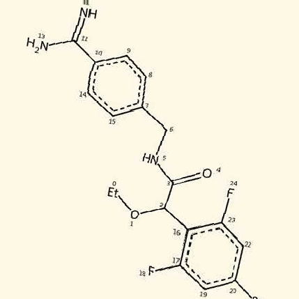 CCOC(C(=O)NCc1ccc(C(=N)N)cc1)c1c(F)cc(Br)cc1F